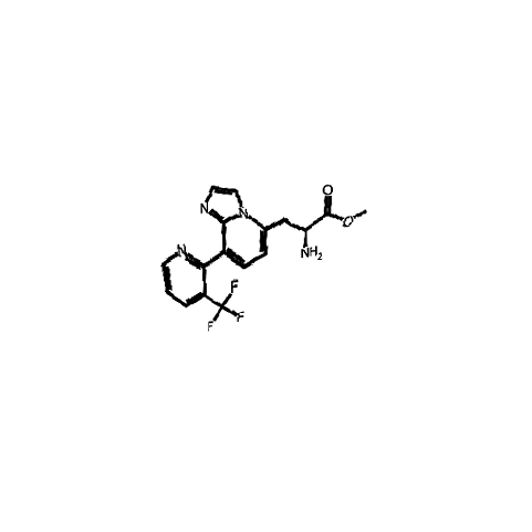 COC(=O)[C@@H](N)Cc1ccc(-c2ncccc2C(F)(F)F)c2nccn12